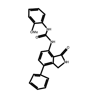 COc1ccccc1NC(=O)Nc1ccc(-c2ccccc2)c2c1C(=O)NC2